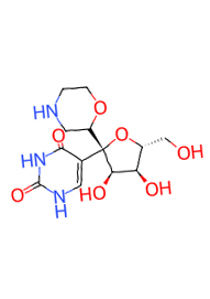 O=c1[nH]cc([C@]2(C3CNCCO3)O[C@H](CO)[C@@H](O)[C@H]2O)c(=O)[nH]1